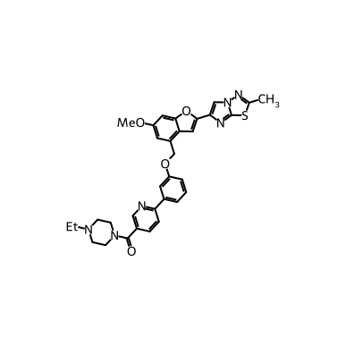 CCN1CCN(C(=O)c2ccc(-c3cccc(OCc4cc(OC)cc5oc(-c6cn7nc(C)sc7n6)cc45)c3)nc2)CC1